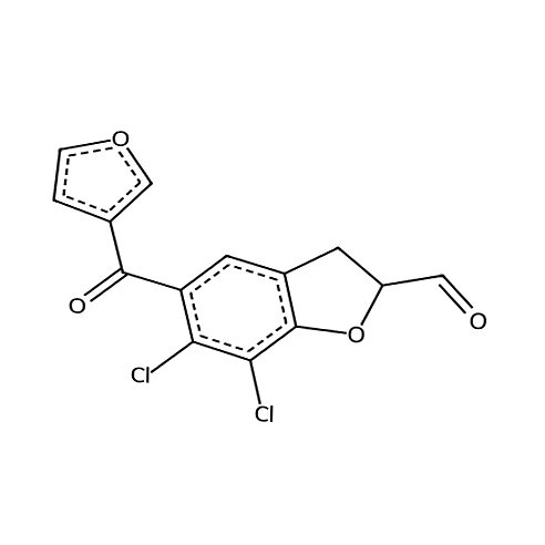 O=CC1Cc2cc(C(=O)c3ccoc3)c(Cl)c(Cl)c2O1